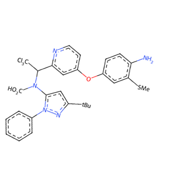 CSc1cc(Oc2ccnc(C(N(C(=O)O)c3cc(C(C)(C)C)nn3-c3ccccc3)C(Cl)(Cl)Cl)c2)ccc1N